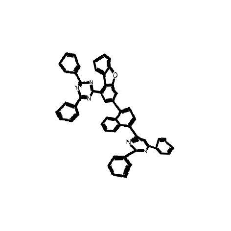 c1ccc(-c2cc(-c3ccc(-c4cc(-c5nc(-c6ccccc6)nc(-c6ccccc6)n5)c5c(c4)oc4ccccc45)c4ccccc34)nc(-c3ccccc3)n2)cc1